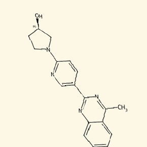 Cc1nc(-c2ccc(N3CC[C@@H](O)C3)nc2)nc2ccccc12